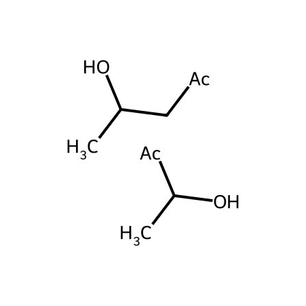 CC(=O)C(C)O.CC(=O)CC(C)O